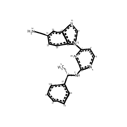 C[C@H](Nc1nccc(-n2cnc3cc(N)ccc32)n1)c1ccccc1